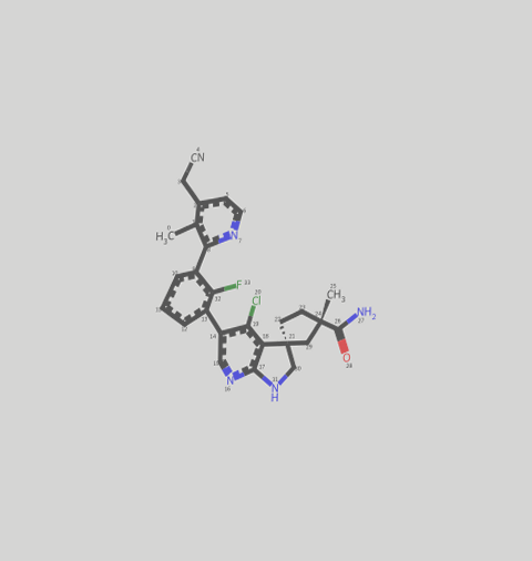 Cc1c(CC#N)ccnc1-c1cccc(-c2cnc3c(c2Cl)[C@]2(CC[C@](C)(C(N)=O)C2)CN3)c1F